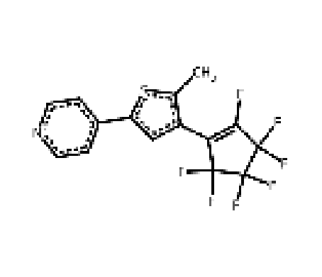 Cc1sc(-c2ccncc2)cc1C1=C(F)C(F)(F)C(F)(F)C1(F)F